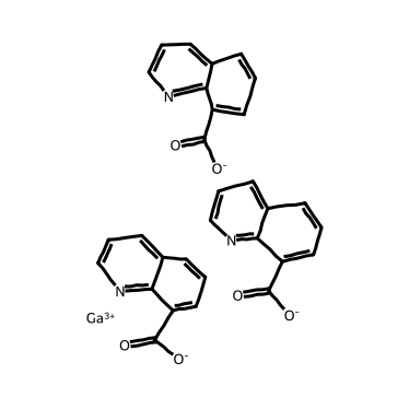 O=C([O-])c1cccc2cccnc12.O=C([O-])c1cccc2cccnc12.O=C([O-])c1cccc2cccnc12.[Ga+3]